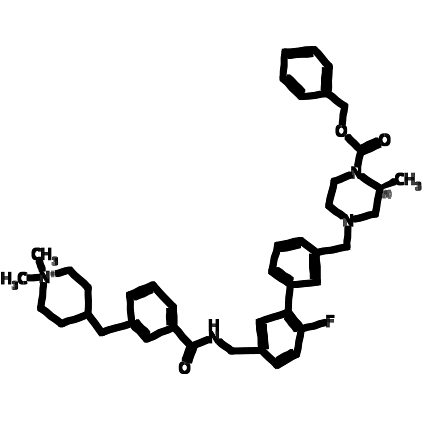 C[C@H]1CN(Cc2cccc(-c3cc(CNC(=O)c4cccc(CC5CC[N+](C)(C)CC5)c4)ccc3F)c2)CCN1C(=O)OCc1ccccc1